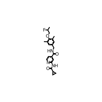 Cc1cc(CNC(=O)c2ccnc(NC(=O)C3CC3)c2)cc(C)c1OCC(C)F